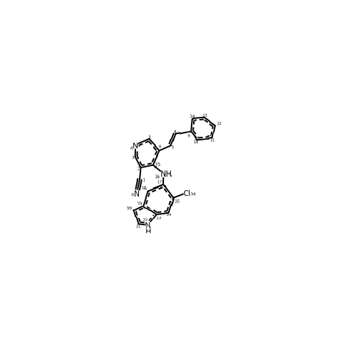 N#Cc1cncc(C=Cc2ccccc2)c1Nc1cc2cc[nH]c2cc1Cl